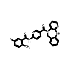 Cc1ccc(F)cc1C(=O)Nc1ccc(C(=O)N2Cc3ccccc3Nc3ncccc32)cn1